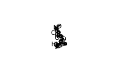 COC[C@H]1CN(c2ccc3c4c(c(=O)oc3c2Cl)CN(C(=O)c2ccc(C(=O)NS(=O)(=O)C3(C)CC3)c(OC3CCCC3)c2F)CC4)CCN1C